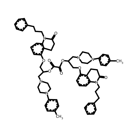 Cc1ccc(N2CCN(CC(COc3cccc4c3CCC(=O)N4CCCc3ccccc3)OC(=O)C(=O)OC(COc3cccc4c3CCC(=O)N4CCCc3ccccc3)CN3CCN(c4ccc(C)cc4)CC3)CC2)cc1